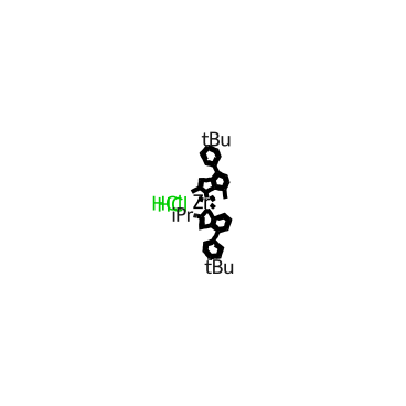 Cl.Cl.[CH2]=[Zr]([CH3])([CH3])([CH]1C(C(C)C)=Cc2c(-c3ccc(C(C)(C)C)cc3)cccc21)[CH]1C(C)=Cc2c(-c3ccc(C(C)(C)C)cc3)ccc(C)c21